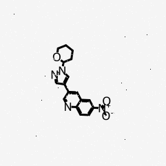 O=[N+]([O-])c1ccc2ncc(-c3cnn(C4CCCCO4)c3)cc2c1